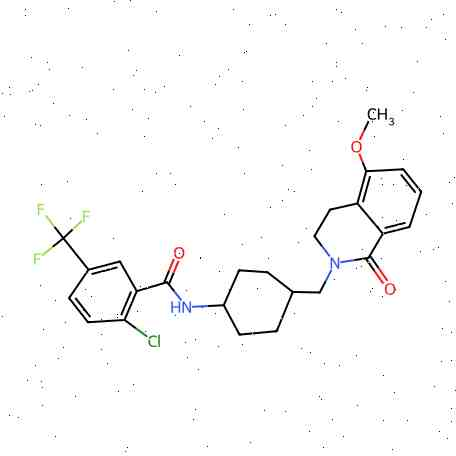 COc1cccc2c1CCN(CC1CCC(NC(=O)c3cc(C(F)(F)F)ccc3Cl)CC1)C2=O